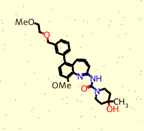 COCCOCc1cccc(-c2ccc(OC)c3c2C=C=CC(NC(=O)N2CCC(C)(O)CC2)=N3)c1